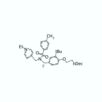 CCCCCCCCCCCCOc1ccc(CN(Cc2cc[n+](CC)cc2)S(=O)(=O)c2ccc(C)cc2)cc1C(C)(C)C.[I-]